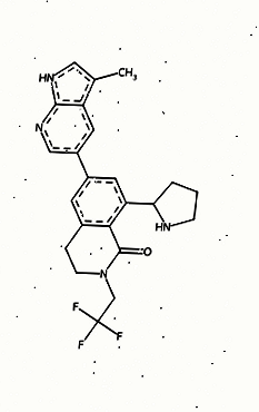 Cc1c[nH]c2ncc(-c3cc4c(c(C5CCCN5)c3)C(=O)N(CC(F)(F)F)CC4)cc12